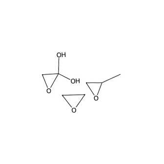 C1CO1.CC1CO1.OC1(O)CO1